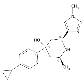 C[C@H]1C[C@@](O)(c2ccc(C3CC3)cc2)C[C@@H](c2cn(C)nn2)N1